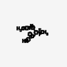 CN1CCN(c2cc(-c3cc(COCC4(c5ccccc5)CCNCC4)cc(C(C)(F)F)c3)ccn2)CC1